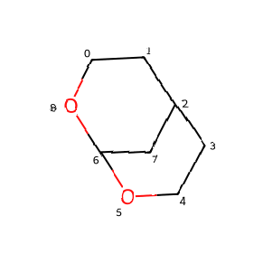 C1CC2CCOC(C2)O1